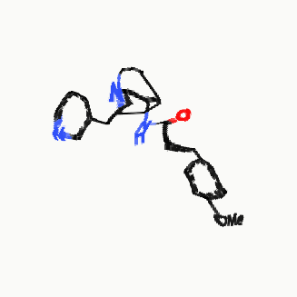 COc1ccc(C=CC(=O)NC2C3CCN(CC3)C2Cc2cccnc2)cc1